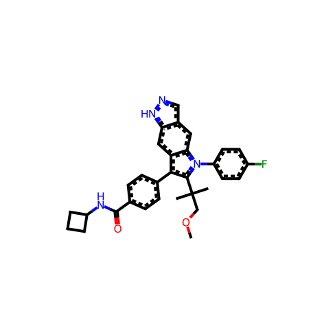 COCC(C)(C)c1c(-c2ccc(C(=O)NC3CCC3)cc2)c2cc3[nH]ncc3cc2n1-c1ccc(F)cc1